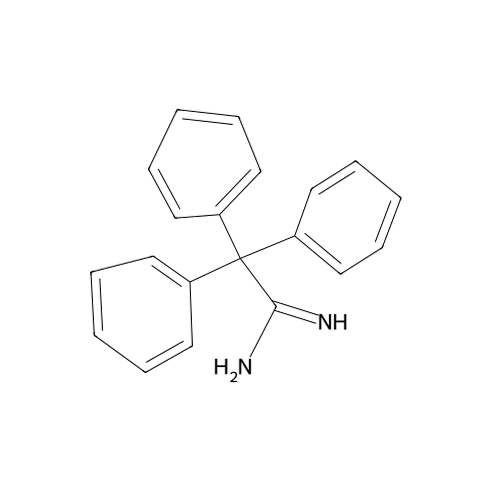 N=C(N)C(c1ccccc1)(c1ccccc1)c1ccccc1